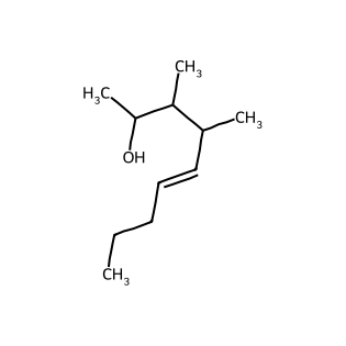 CCCC=CC(C)C(C)C(C)O